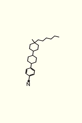 CCCCCCC1(C)CCC(C2CCC(c3ccc(C#N)cc3)CC2)CC1